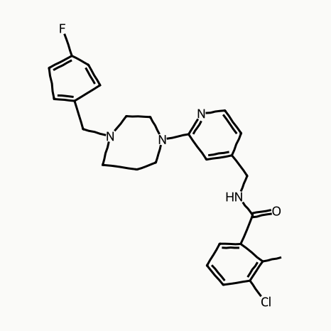 Cc1c(Cl)cccc1C(=O)NCc1ccnc(N2CCCN(Cc3ccc(F)cc3)CC2)c1